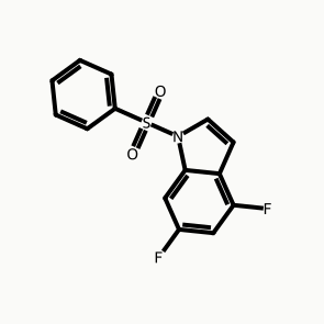 O=S(=O)(c1ccccc1)n1ccc2c(F)cc(F)cc21